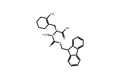 CC1=C(C[C@@H](C(=O)O)N(C)C(=O)OCC2c3ccccc3-c3ccccc32)CCCC1